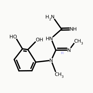 C/N=C(\NC(=N)N)N(C)c1cccc(O)c1O